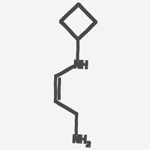 NC/C=C\NC1CCC1